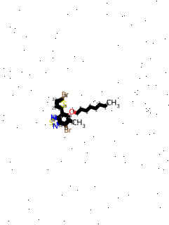 CCCCCCCCOc1c(C)c(Br)c2nsnc2c1-c1ccc(Br)s1